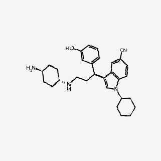 N#Cc1ccc2c(c1)c(C(CCN[C@H]1CC[C@H](N)CC1)c1cccc(O)c1)cn2C1CCCCC1